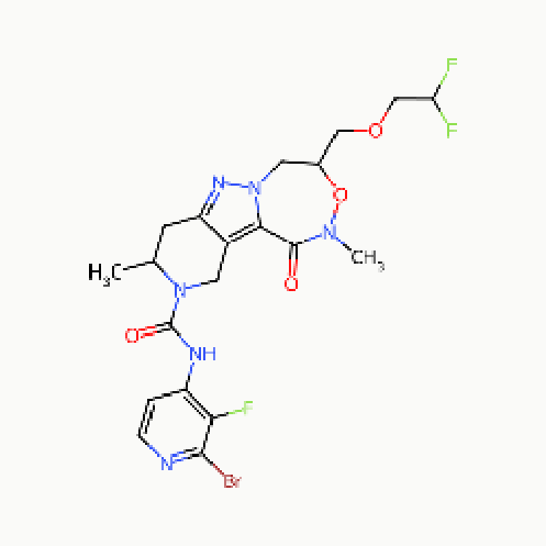 CC1Cc2nn3c(c2CN1C(=O)Nc1ccnc(Br)c1F)C(=O)N(C)OC(COCC(F)F)C3